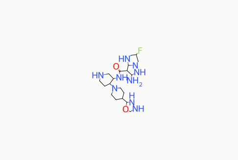 NC1NN2CC(F)CNC2C1C(=O)NC1CNCCC1N1CCC(C2NNCO2)CC1